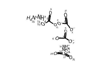 O=C([O-])[O-].O=C([O-])[O-].O=C([O-])[O-].[NH4+].[NH4+].[NH4+].[NH4+].[O]=[U+2]=[O]